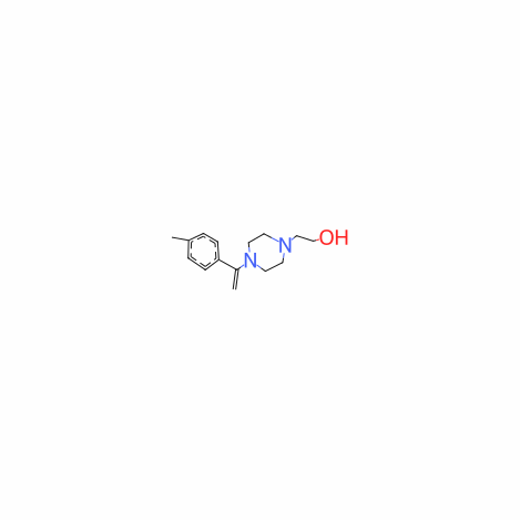 C=C(c1ccc(C)cc1)N1CCN(CCO)CC1